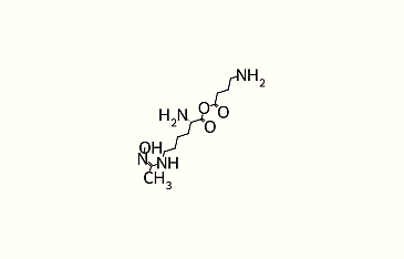 CC(=NO)NCCCC[C@H](N)C(=O)OC(=O)CCCN